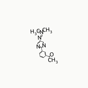 CC(=O)c1cccc(-c2ncc(N=CN(C)C)cn2)c1